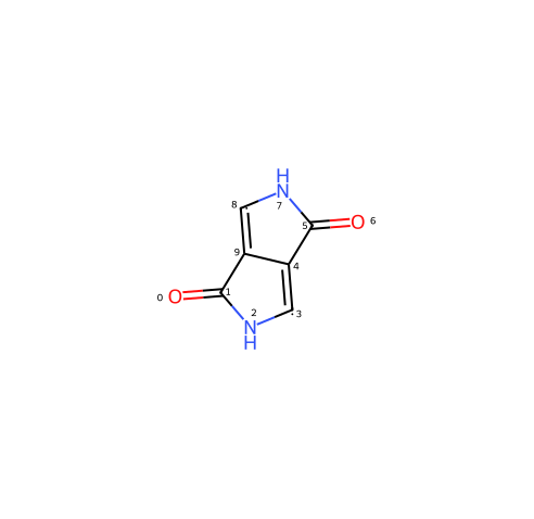 O=C1N[C]=C2C(=O)N[C]=C12